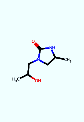 CC(O)CN1CC(C)NC1=O